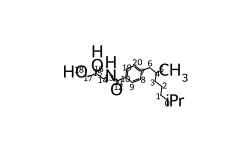 CC(C)CCCC(C)Cc1ccc(C(=O)NCC(O)CO)cc1